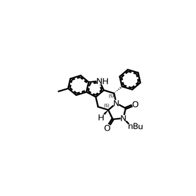 CCCCN1C(=O)[C@@H]2Cc3c([nH]c4ccc(C)cc34)[C@H](c3ccccc3)N2C1=O